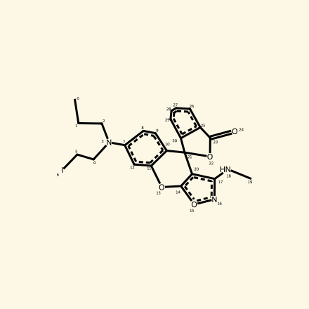 CCCN(CCI)c1ccc2c(c1)Oc1onc(NC)c1C21OC(=O)c2ccccc21